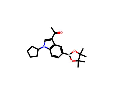 CC(=O)c1cn(C2CCCC2)c2ccc(B3OC(C)(C)C(C)(C)O3)cc12